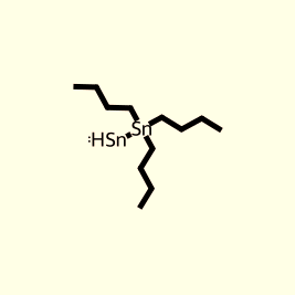 CCC[CH2][Sn]([SnH])([CH2]CCC)[CH2]CCC